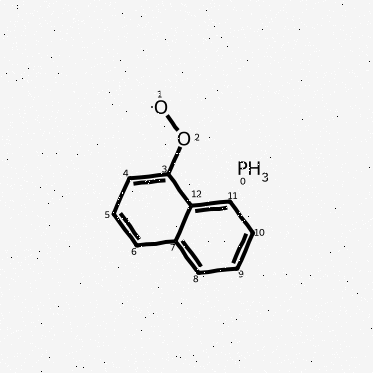 P.[O]Oc1cccc2ccccc12